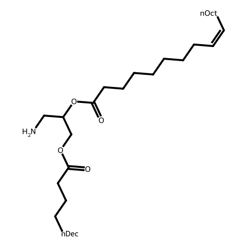 CCCCCCCC/C=C\CCCCCCCC(=O)OC(CN)COC(=O)CCCCCCCCCCCCC